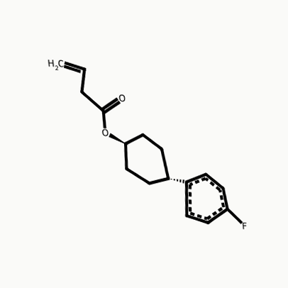 C=CCC(=O)O[C@H]1CC[C@H](c2ccc(F)cc2)CC1